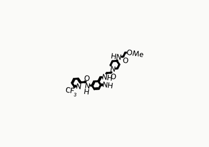 COCC(=O)NC1CCN(C(=O)CN/C=C2/C=C(NC(=O)c3cccc(C(F)(F)F)n3)C=CC2=N)CC1